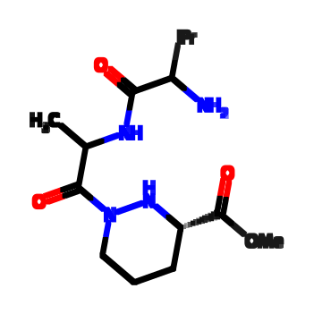 COC(=O)[C@@H]1CCCN(C(=O)C(C)NC(=O)C(N)C(C)C)N1